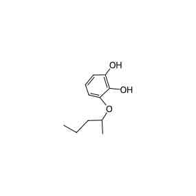 CCCC(C)Oc1cccc(O)c1O